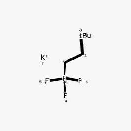 CC(C)(C)CC[B-](F)(F)F.[K+]